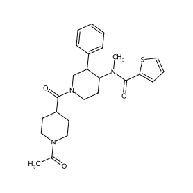 CC(=O)N1CCC(C(=O)N2CCC(N(C)C(=O)c3cccs3)C(c3ccccc3)C2)CC1